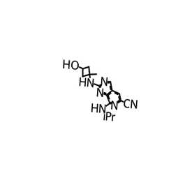 CC(C)Nc1nc(C#N)cc2cnc(NC3(C)CC(O)C3)nc12